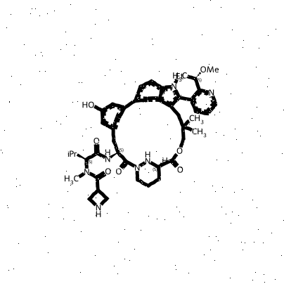 CCn1c(-c2cccnc2[C@H](C)OC)c2c3cc(ccc31)-c1cc(O)cc(c1)C[C@H](NC(=O)[C@H](C(C)C)N(C)C(=O)C1CNC1)C(=O)N1CCC[C@H](N1)C(=O)OCC(C)(C)C2